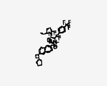 CCC1CCC(C)N1C(=O)C(N(C)S(=O)(=O)c1ccc2cc(OC3CCCC3)ccc2c1)C(F)(F)c1ccc(C(F)(F)F)cc1